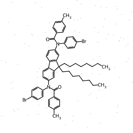 CCCCCCCCC1(CCCCCCCC)c2cc(N(C(=O)c3ccc(C)cc3)c3ccc(Br)cc3)ccc2-c2ccc(N(C(=O)c3ccc(C)cc3)c3ccc(Br)cc3)cc21